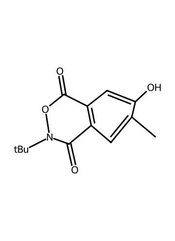 Cc1cc2c(=O)n(C(C)(C)C)oc(=O)c2cc1O